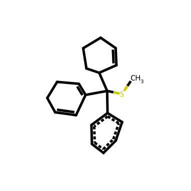 CSC(C1=CCCC=C1)(c1ccccc1)C1C=CCCC1